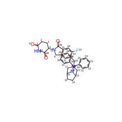 O=C1CCC(N2Cc3cc(CN4CC5CCC(C4)N5C(c4ccccc4)c4ccccc4)c(F)cc3C2=O)C(=O)N1